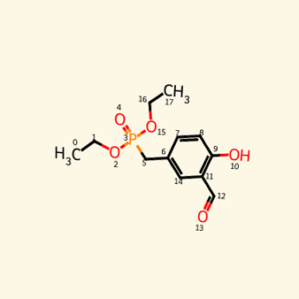 CCOP(=O)(Cc1ccc(O)c(C=O)c1)OCC